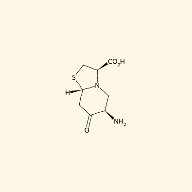 N[C@@H]1CN2[C@H](CC1=O)SC[C@H]2C(=O)O